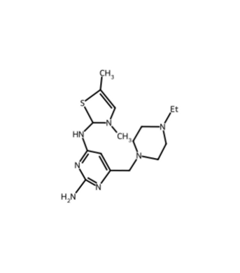 CCN1CCN(Cc2cc(NC3SC(C)=CN3C)nc(N)n2)CC1